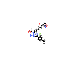 O=C1CCC(CCCCCC(=O)c2ccon2)(c2nc(-c3ccc(C4CC4)cc3F)c[nH]2)N1